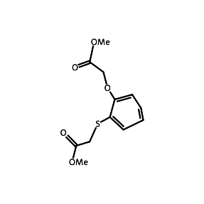 COC(=O)COc1ccccc1SCC(=O)OC